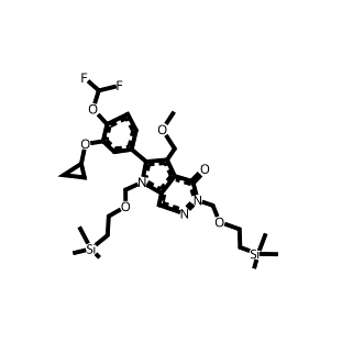 COCc1c(-c2ccc(OC(F)F)c(OC3CC3)c2)n(COCC[Si](C)(C)C)c2cnn(COCC[Si](C)(C)C)c(=O)c12